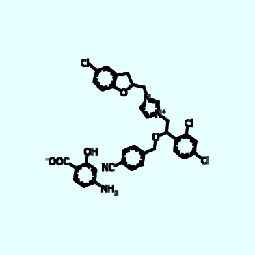 N#Cc1ccc(COC(C[n+]2ccn(CC3Cc4cc(Cl)ccc4O3)c2)c2ccc(Cl)cc2Cl)cc1.Nc1ccc(C(=O)[O-])c(O)c1